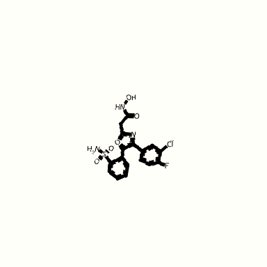 NS(=O)(=O)c1ccccc1-c1oc(CC(=O)NO)nc1-c1ccc(F)c(Cl)c1